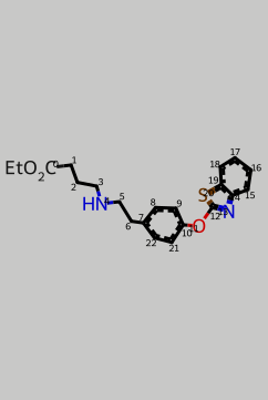 CCOC(=O)CCCNCCc1ccc(Oc2nc3ccccc3s2)cc1